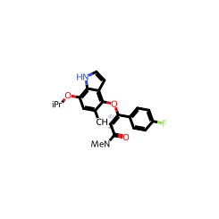 CNC(=O)/C=C(/Oc1c(C)cc(OC(C)C)c2[nH]ccc12)c1ccc(F)cc1